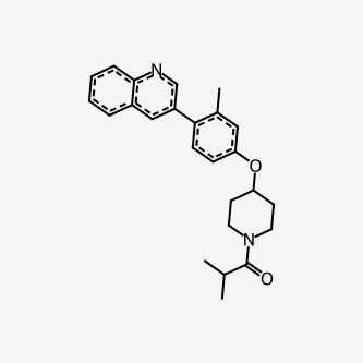 Cc1cc(OC2CCN(C(=O)C(C)C)CC2)ccc1-c1cnc2ccccc2c1